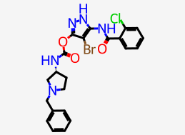 O=C(N[C@@H]1CCN(Cc2ccccc2)C1)Oc1n[nH]c(NC(=O)c2ccccc2Cl)c1Br